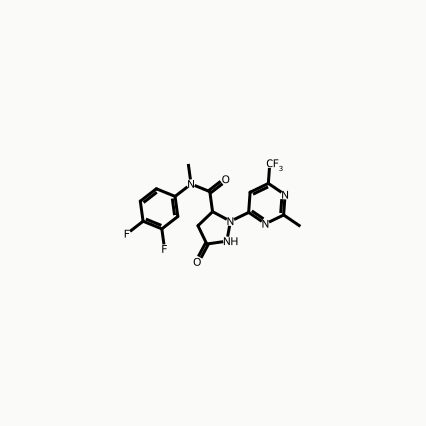 Cc1nc(N2NC(=O)CC2C(=O)N(C)c2ccc(F)c(F)c2)cc(C(F)(F)F)n1